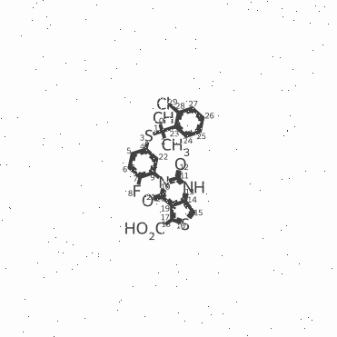 CC(C)(Sc1ccc(F)c(-n2c(=O)[nH]c3csc(C(=O)O)c3c2=O)c1)c1ccccc1Cl